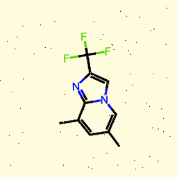 Cc1cc(C)c2nc(C(F)(F)F)cn2c1